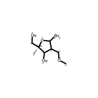 BC1O[C@](C)(CO)C(O)C1COC